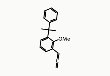 C=C=Cc1cccc(C(C)(C)c2ccccc2)c1OC